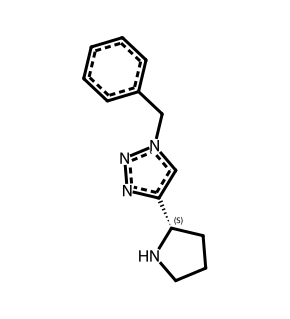 c1ccc(Cn2cc([C@@H]3CCCN3)nn2)cc1